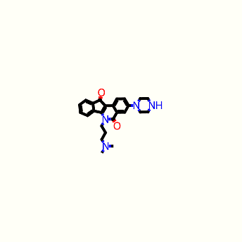 CN(C)CCCn1c2c(c3ccc(N4CCNCC4)cc3c1=O)C(=O)c1ccccc1-2